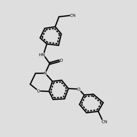 N#CCc1ccc(NC(=O)N2CCOc3ccc(Oc4ccc(C#N)cc4)cc32)cc1